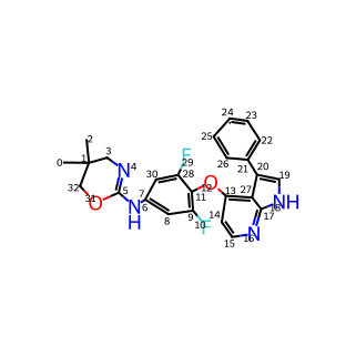 CC1(C)CN=C(Nc2cc(F)c(Oc3ccnc4[nH]cc(-c5cc[c]cc5)c34)c(F)c2)OC1